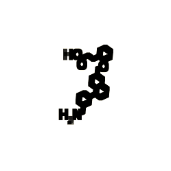 NCc1cccc(-c2cccc3cc(COc4ccccc4CCC(=O)O)ccc23)c1